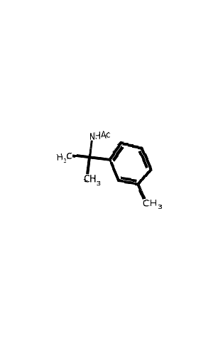 CC(=O)NC(C)(C)c1cccc(C)c1